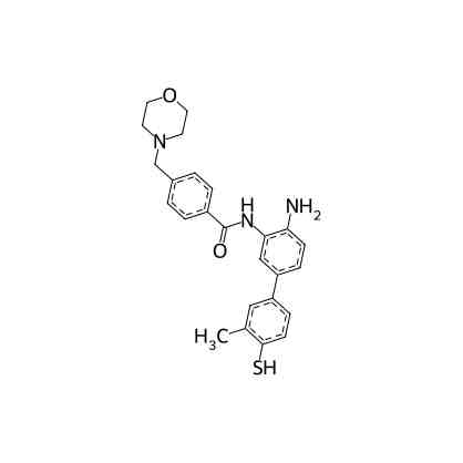 Cc1cc(-c2ccc(N)c(NC(=O)c3ccc(CN4CCOCC4)cc3)c2)ccc1S